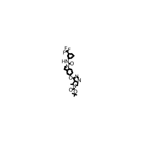 CC1c2c(ncnc2Oc2ccc3c(ccn3C(=O)Nc3cccc(C(F)(F)F)c3)c2)CN1C(=O)OC(C)(C)C